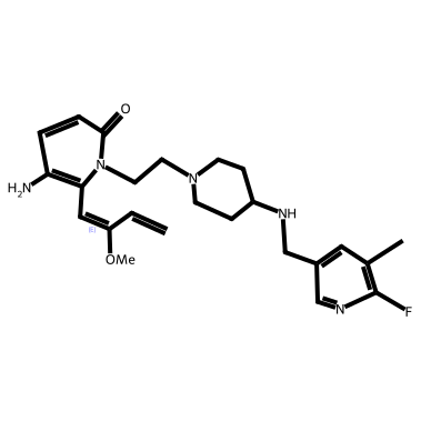 C=C/C(=C\c1c(N)ccc(=O)n1CCN1CCC(NCc2cnc(F)c(C)c2)CC1)OC